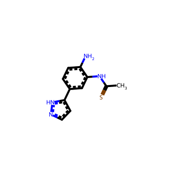 CC(=S)Nc1cc(-c2ccn[nH]2)ccc1N